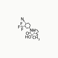 CC(O)(C(=O)Nc1ccc(C#N)c(C(F)(F)F)c1)C1CC=CS1